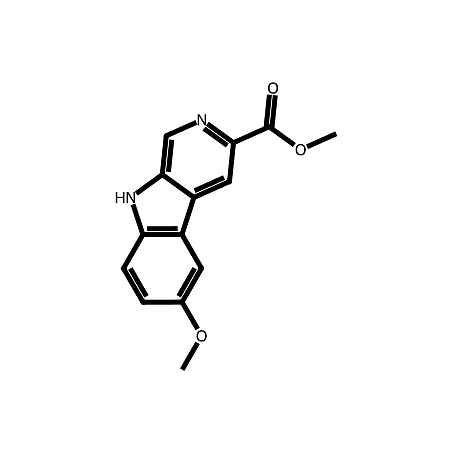 COC(=O)c1cc2c(cn1)[nH]c1ccc(OC)cc12